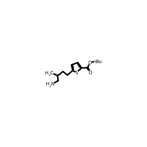 CCCCOC(=O)c1ccc(CCC(C)CN)s1